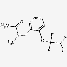 CN(Cc1ccccc1OC(F)(F)C(F)F)C(N)=O